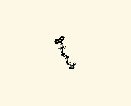 CN(COC(C)(C)CCNC(=O)OCC1c2ccccc2-c2ccccc21)OCCC(=O)ON1C(=O)CCC1=O